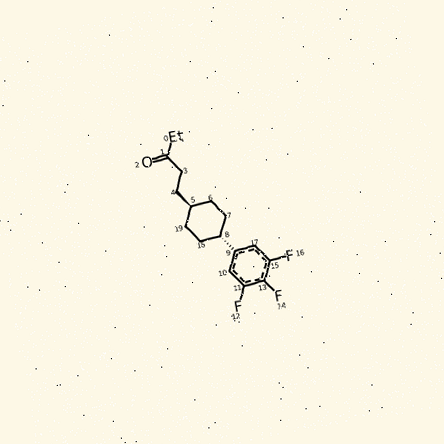 CCC(=O)CC[C@H]1CC[C@H](c2cc(F)c(F)c(F)c2)CC1